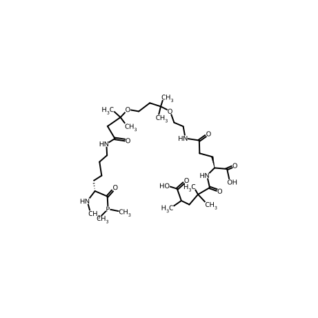 CN[C@H](CCCCNC(=O)CC(C)(C)OCCC(C)(C)OCCNC(=O)CC[C@H](NC(=O)C(C)(C)CC(C)C(=O)O)C(=O)O)C(=O)P(C)C